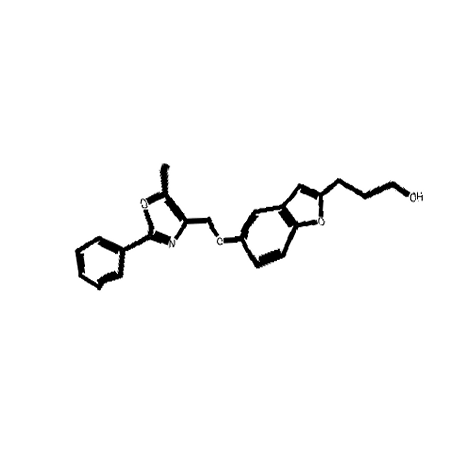 Cc1oc(-c2ccccc2)nc1COc1ccc2oc(CCCO)cc2c1